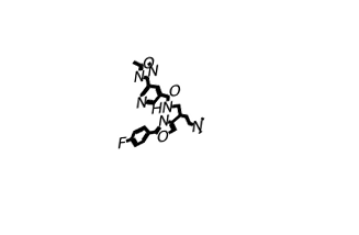 Cc1nc(-c2cncc(C(=O)NCC(CCN(C)C)c3coc(-c4ccc(F)cc4)n3)c2)no1